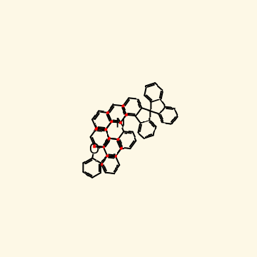 c1ccc(-c2ccccc2-c2c(-c3ccccc3)cccc2N(c2ccccc2-c2cccc3c2oc2ccccc23)c2cccc3c2-c2ccccc2C32c3ccccc3-c3ccccc32)cc1